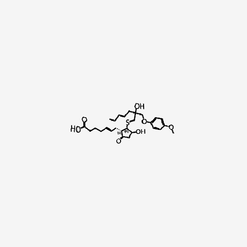 CCCCCC(O)(COc1ccc(OC)cc1)CS[C@H]1C(O)CC(=O)[C@@H]1CC=CCCCC(=O)O